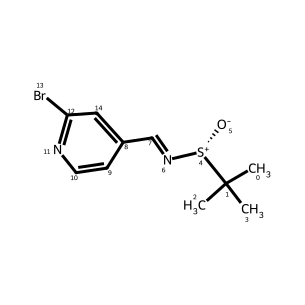 CC(C)(C)[S@@+]([O-])N=Cc1ccnc(Br)c1